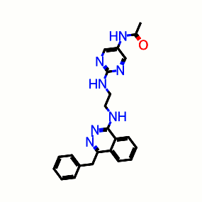 CC(=O)Nc1cnc(NCCNc2nnc(Cc3ccccc3)c3ccccc23)nc1